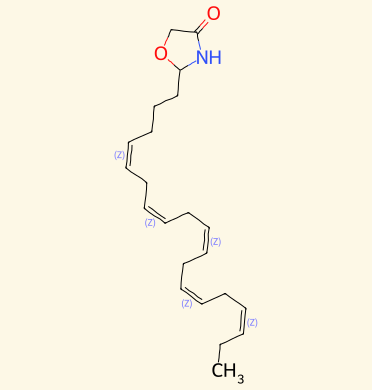 CC/C=C\C/C=C\C/C=C\C/C=C\C/C=C\CCCC1NC(=O)CO1